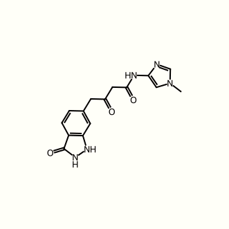 Cn1cnc(NC(=O)CC(=O)Cc2ccc3c(=O)[nH][nH]c3c2)c1